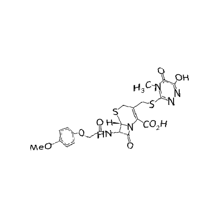 COc1ccc(OCC(=O)NC2C(=O)N3C(C(=O)O)=C(CSc4nnc(O)c(=O)n4C)CS[C@@H]23)cc1